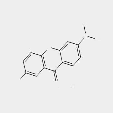 C[S+]([O-])c1ccc2c(=O)c3cc(C(=O)O)ccc3oc2c1.[CaH2]